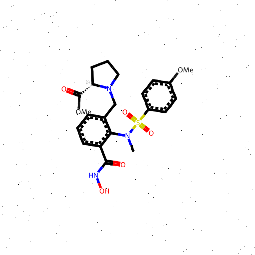 COC(=O)[C@@H]1CCCN1Cc1cccc(C(=O)NO)c1N(C)S(=O)(=O)c1ccc(OC)cc1